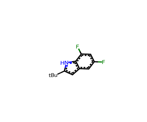 CC(C)(C)c1cc2cc(F)cc(F)c2[nH]1